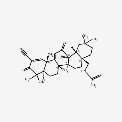 CC(=O)NC[C@]12CCC(C)(C)C[C@H]1[C@H]1C(=O)C=C3[C@@]4(C)C=C(C#N)C(=O)C(C)(C)[C@@H]4CC[C@@]3(C)[C@]1(C)CC2